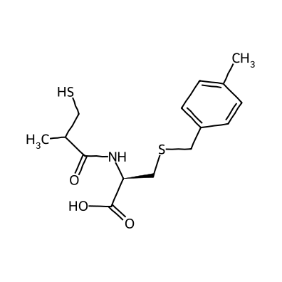 Cc1ccc(CSC[C@H](NC(=O)C(C)CS)C(=O)O)cc1